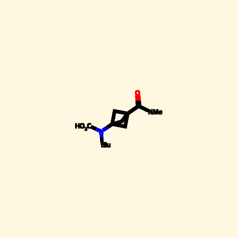 CNC(=O)C12CC(N(C(=O)O)C(C)(C)C)(C1)C2